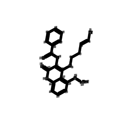 CC/C=C/CCOc1c(OC(=O)c2ccccc2)c(=O)oc2cccc(OCCCCCCCCCC)c12